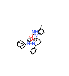 Cc1cccc(N(C(N)=O)C2CCCC(c3ccccc3)N(CN(C=O)C3C4CC5CC(C4)CC3C5)C2=O)c1